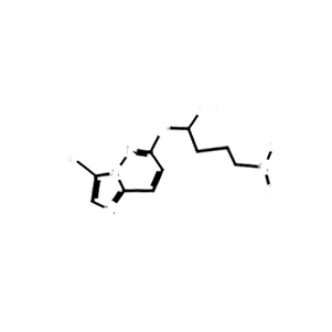 CC(CCCN(C)C)Oc1ccc2ncc(Br)n2n1